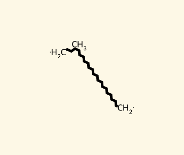 [CH2]CCCCCCCCCCCCCCCCCCC(C)CC[CH2]